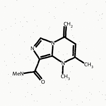 C=C1C=C(C)N(C)c2c(C(=O)NC)ncn21